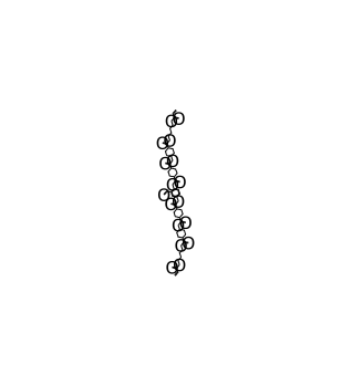 C=CC(=O)OCCCCOC(=O)C1CCC(OC(=O)C2CCC(C(=O)Oc3ccc(OC(=O)C4CCC(C(=O)OC5CCC(C(=O)OCCCCOC(=O)C=C)CC5)CC4)c(C=O)c3)CC2)CC1